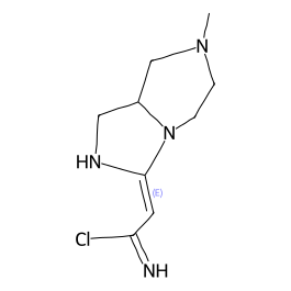 CN1CCN2/C(=C/C(=N)Cl)NCC2C1